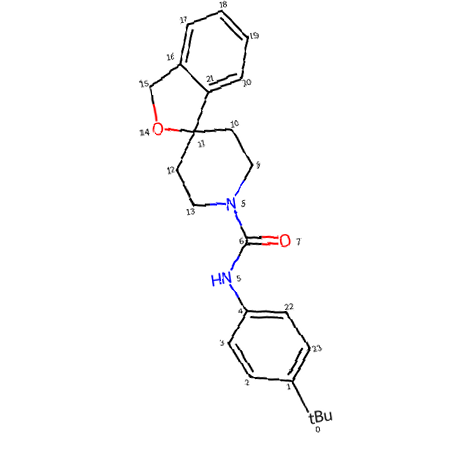 CC(C)(C)c1ccc(NC(=O)N2CCC3(CC2)OCc2ccccc23)cc1